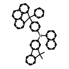 CC1(C)c2ccccc2-c2ccc(N(c3ccc(C4(c5ccccc5)c5cccc6ccc7cccc4c7c56)cc3)c3cccc4ccccc34)cc21